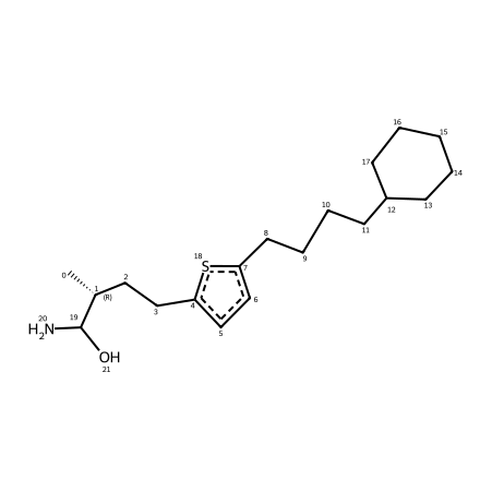 C[C@H](CCc1ccc(CCCCC2CCCCC2)s1)C(N)O